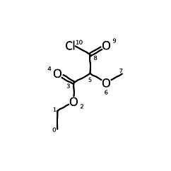 CCOC(=O)C(OC)C(=O)Cl